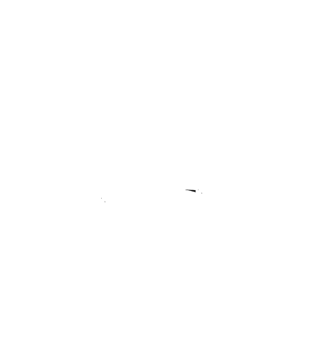 CCN(CC)[C@@H]1Cc2cccc3[nH]cc(c23)C1